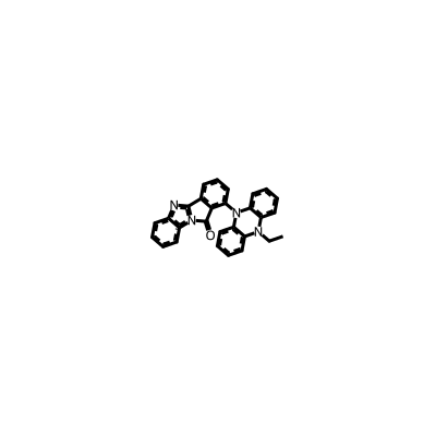 CCN1c2ccccc2N(c2cccc3c2C(=O)n2c-3nc3ccccc32)c2ccccc21